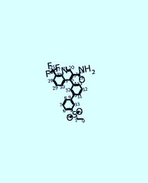 CCS(=O)(=O)c1cccc(-c2cccc(-c3c(C(N)=O)cnc4c(C(F)(F)F)cccc34)c2)c1